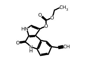 C#Cc1ccc2[nH]c(=O)c3[nH]cc(OC(=O)OCC)c3c2c1